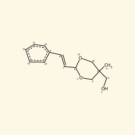 CC1(CO)COC(/C=C/c2ccccc2)OC1